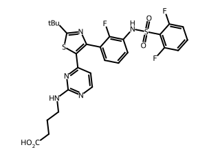 CC(C)(C)c1nc(-c2cccc(NS(=O)(=O)c3c(F)cccc3F)c2F)c(-c2ccnc(NCCCC(=O)O)n2)s1